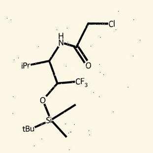 CC(C)C(NC(=O)CCl)C(O[Si](C)(C)C(C)(C)C)C(F)(F)F